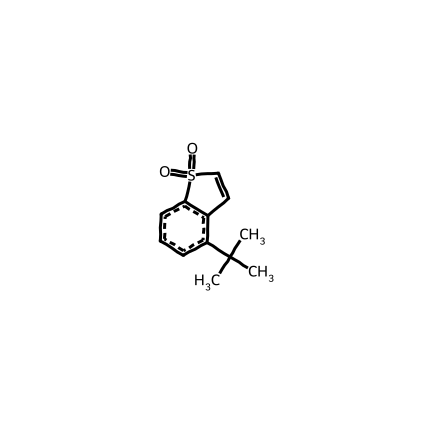 CC(C)(C)c1cccc2c1C=CS2(=O)=O